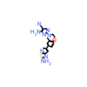 N#Cc1cnc(N2CCOc3ccc(-c4cnc5sc(N)nc5c4)cc3C2)nc1N